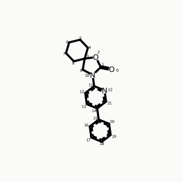 O=C1OC2(CCCCC2)CN1c1ccc(-c2ccccc2)cn1